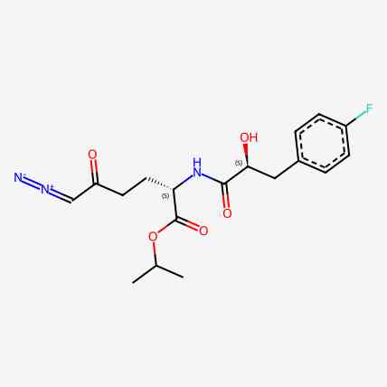 CC(C)OC(=O)[C@H](CCC(=O)C=[N+]=[N-])NC(=O)[C@@H](O)Cc1ccc(F)cc1